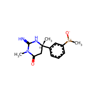 CN1C(=N)N[C@](C)(c2cccc([S+](C)[O-])c2)CC1=O